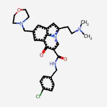 CN(C)CCc1cc2cc(CN3CCOCC3)cc3c(=O)c(C(=O)NCc4ccc(Cl)cc4)cn1c23